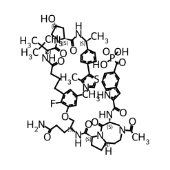 CC(=O)N1CC[C@H]2CC[C@@H](C(=O)N[C@@H](CCC(N)=O)COc3cc(C)cc(CCCC(=O)N[C@H](C(=O)N4C[C@H](O)C[C@H]4C(=O)N[C@@H](C)c4ccc(-c5scnc5C)cc4)C(C)(C)C)c3F)N2C(=O)[C@@H](NC(=O)c2cc3cc(C(=O)P(=O)(O)O)ccc3[nH]2)C1